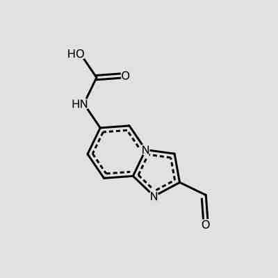 O=Cc1cn2cc(NC(=O)O)ccc2n1